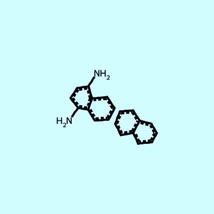 Nc1ccc(N)c2ccccc12.c1ccc2ccccc2c1